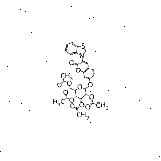 CC(=O)OC[C@H]1O[C@@H](Oc2ccc3cc(N4CSc5ccccc54)c(=O)oc3c2)[C@H](OC(C)=O)[C@@H](OC(C)=O)[C@@H]1OC(C)=O